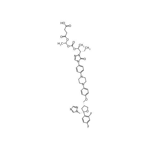 CC[C@@H]([C@H](C)OC(=O)OC(C)OC(=O)CCC(=O)O)n1ncn(-c2ccc(N3CCN(c4ccc(OC[C@@H]5CO[C@@](Cn6cncn6)(c6ccc(F)cc6F)C5)cc4)CC3)cc2)c1=O